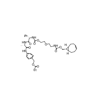 CCC(=O)OCc1ccc(NC(=O)[C@H](C)NC(=O)[C@@H](NC(=O)OCCOCCNC(=O)OC[C@@H]2[C@@H]3CC/C=C\CC[C@@H]32)C(C)C)cc1